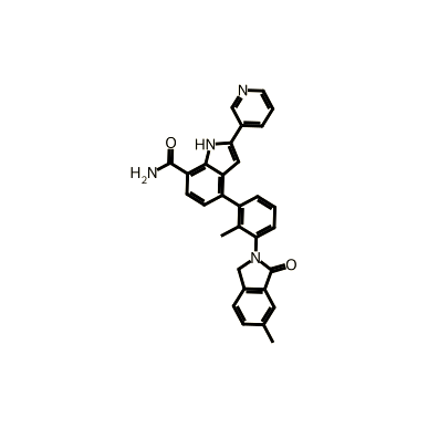 Cc1ccc2c(c1)C(=O)N(c1cccc(-c3ccc(C(N)=O)c4[nH]c(-c5cccnc5)cc34)c1C)C2